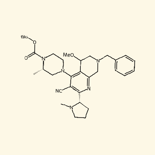 COC1CN(Cc2ccccc2)Cc2nc([C@@H]3CCCN3C)c(C#N)c(N3CCN(C(=O)OC(C)(C)C)[C@@H](C)C3)c21